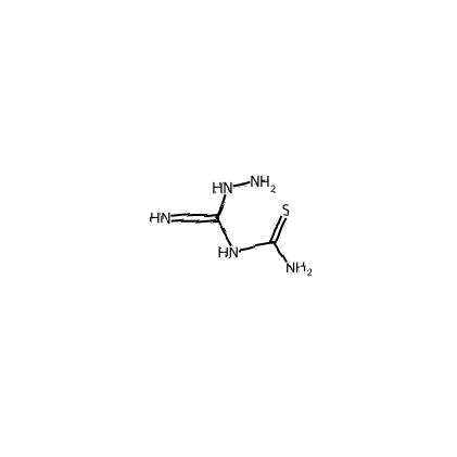 N=C(NN)NC(N)=S